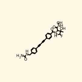 CC(O)(C(F)F)C(NC(=O)c1ccc(C#CC#Cc2ccc(CNC(N)=O)cc2)cc1)C(=O)NO